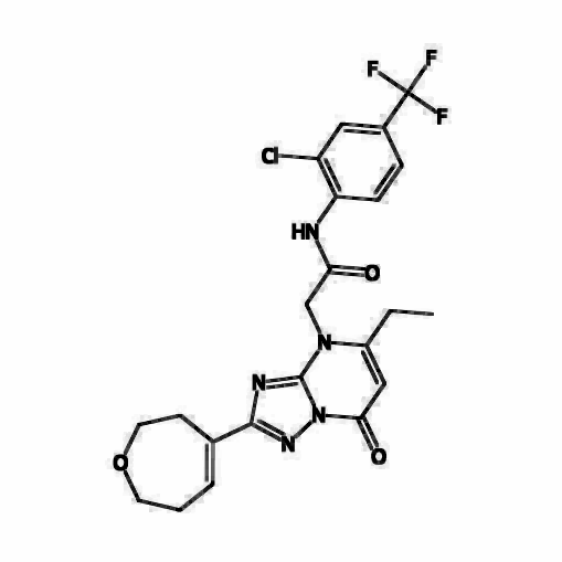 CCc1cc(=O)n2nc(C3=CCCOCC3)nc2n1CC(=O)Nc1ccc(C(F)(F)F)cc1Cl